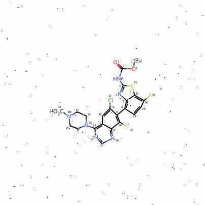 CC(C)(C)OC(=O)Nc1nc2c(-c3c(Cl)cc4c(N5CCN(C(=O)O)CC5)ncnc4c3F)ccc(F)c2s1